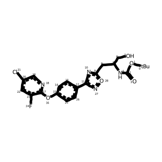 CC(C)(C)OC(=O)NC(CO)Cc1nc(-c2ccc(Oc3ncc(Cl)cc3F)cc2)no1